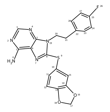 Nc1ncnc2c1nc(Sc1ccc3c(c1)OCO3)n2CCc1ccc(F)cc1